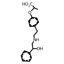 CC(Oc1ccc(CCNCC(O)c2ccccc2)cc1)C(=O)O